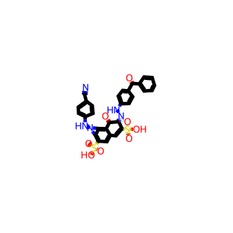 N#Cc1ccc(Nn2c3c(S(=O)(=O)O)cc4cc(S(=O)(=O)O)/c(=N/Nc5ccc(C(=O)c6ccccc6)cc5)c(=O)c4c32)cc1